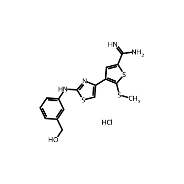 CSc1sc(C(=N)N)cc1-c1csc(Nc2cccc(CO)c2)n1.Cl